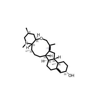 C/C1=C2\C[C@H]3[C@@H](CCC4=C[C@@H](O)CC[C@@]43C)[C@@H]2CC[C@H](C)[C@H]2[C@@H](C[C@H](C)CN2C)OC1